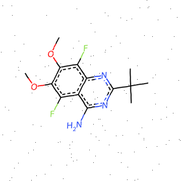 COc1c(OC)c(F)c2c(N)nc(C(C)(C)C)nc2c1F